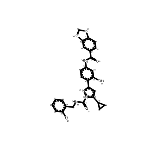 O=C(Nc1ccc(-c2cc(C3CC3)n(C(=O)NCc3ccccc3Cl)n2)c(O)c1)c1ccc2c(c1)OCO2